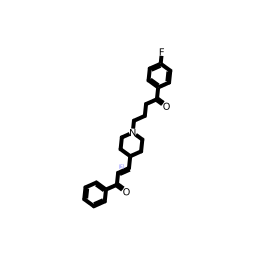 O=C(/C=C/C1CCN(CCCC(=O)c2ccc(F)cc2)CC1)c1ccccc1